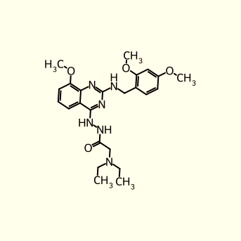 CCN(CC)CC(=O)NNc1nc(NCc2ccc(OC)cc2OC)nc2c(OC)cccc12